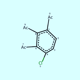 CC(=O)c1ccc(Cl)c(C(C)=O)c1C(C)=O